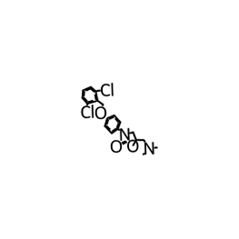 CN(C)CC1CN(c2ccc(OCc3c(Cl)cccc3Cl)cc2)C(=O)O1